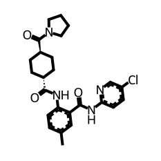 Cc1ccc(NC(=O)[C@H]2CC[C@H](C(=O)N3CCCC3)CC2)c(C(=O)Nc2ccc(Cl)cn2)c1